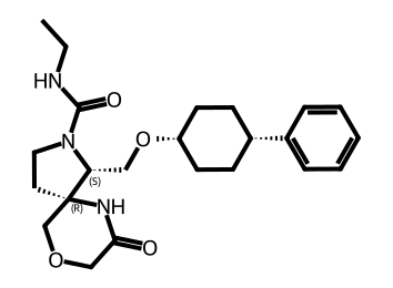 CCNC(=O)N1CC[C@]2(COCC(=O)N2)[C@H]1CO[C@H]1CC[C@@H](c2ccccc2)CC1